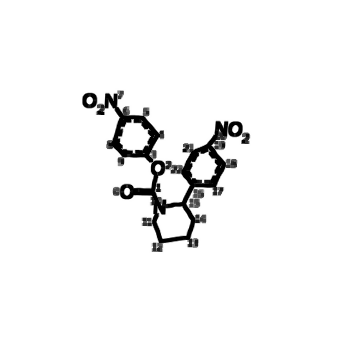 O=C(Oc1ccc([N+](=O)[O-])cc1)N1CCCCC1c1ccc([N+](=O)[O-])cc1